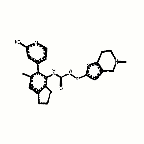 Cc1cc2c(c(NC(=O)NSc3cc4c(s3)CCN(C)C4)c1-c1ccnc(C#N)c1)CCC2